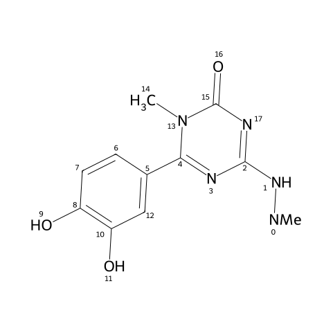 CNNc1nc(-c2ccc(O)c(O)c2)n(C)c(=O)n1